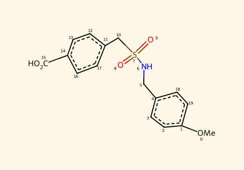 COc1ccc(CNS(=O)(=O)Cc2ccc(C(=O)O)cc2)cc1